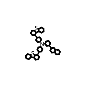 c1cc(-c2ccc3ccccc3c2)cc(N(c2ccc(-c3cccc4c3sc3ccccc34)cc2)c2ccc(-c3cccc4sc5ccccc5c34)cc2)c1